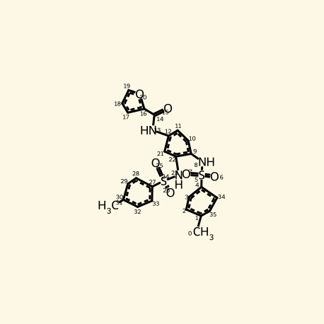 Cc1ccc(S(=O)(=O)Nc2ccc(NC(=O)c3ccco3)cc2NS(=O)(=O)c2ccc(C)cc2)cc1